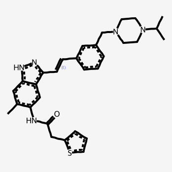 Cc1cc2[nH]nc(/C=C/c3cccc(CN4CCN(C(C)C)CC4)c3)c2cc1NC(=O)Cc1cccs1